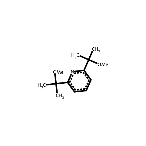 COC(C)(C)c1cccc(C(C)(C)OC)n1